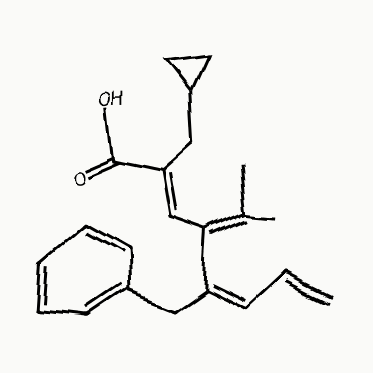 C=C/C=C(/Cc1ccccc1)C(/C=C(\CC1CC1)C(=O)O)=C(C)C